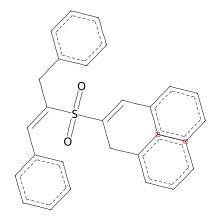 O=S(=O)(C(=Cc1ccccc1)Cc1ccccc1)C(=Cc1ccccc1)Cc1ccccc1